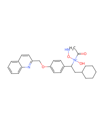 CC(=O)[N+](O)(O[NH])C(CC1CCCCC1)c1ccc(OCc2ccc3ccccc3n2)cc1